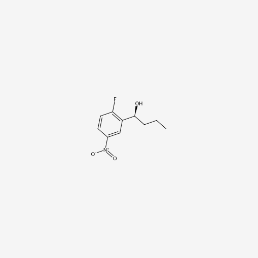 CCC[C@H](O)c1cc([N+](=O)[O-])ccc1F